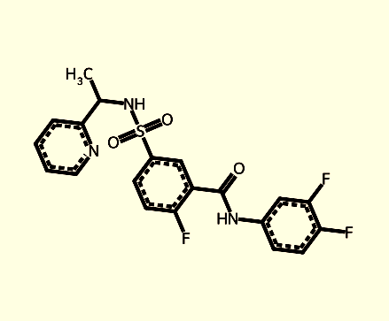 CC(NS(=O)(=O)c1ccc(F)c(C(=O)Nc2ccc(F)c(F)c2)c1)c1ccccn1